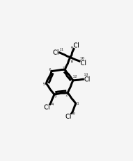 ClCc1c(Cl)ccc(C(Cl)(Cl)Cl)c1Cl